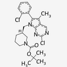 Cc1c(-c2ccccc2Cl)n(C[C@@H]2CCCN(C(=O)OC(C)(C)C)C2)c2nc(Cl)ncc12